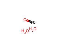 O.O.[O]=[Pb]